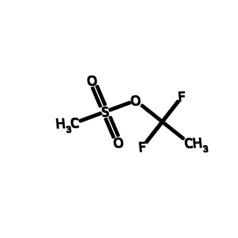 CC(F)(F)OS(C)(=O)=O